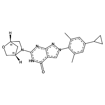 Cc1cc(C2CC2)cc(C)c1-n1cc2c(=O)[nH]c(N3C[C@@H]4C[C@H]3CO4)nc2n1